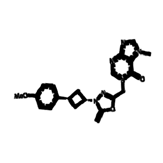 C=C1OC(Cn2cnc3ncn(C)c3c2=O)=NN1[C@H]1C[C@H](c2ccc(OC)cc2)C1